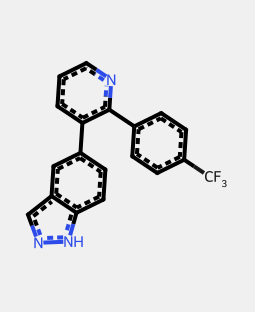 FC(F)(F)c1ccc(-c2ncccc2-c2ccc3[nH]ncc3c2)cc1